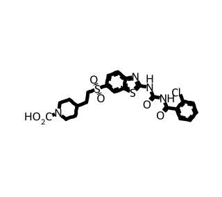 O=C(NC(=O)c1ccccc1Cl)Nc1nc2ccc(S(=O)(=O)CCC3CCN(C(=O)O)CC3)cc2s1